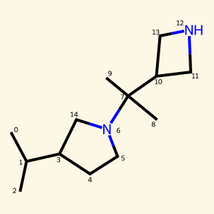 CC(C)C1CCN(C(C)(C)C2CNC2)C1